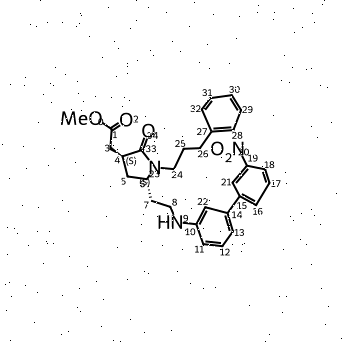 COC(=O)C[C@@H]1C[C@@H](CCNc2cccc(-c3cccc([N+](=O)[O-])c3)c2)N(CCCc2ccccc2)C1=O